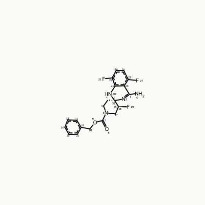 NC1=N[C@]2(CCN(C(=O)OCc3ccccc3)C[C@@H]2F)Nc2c(F)ccc(F)c21